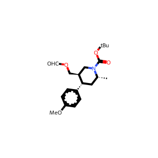 COc1ccc([C@H]2C[C@@H](C)N(C(=O)OC(C)(C)C)C[C@@H]2COC=O)cc1